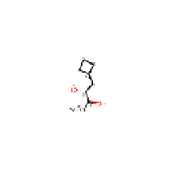 COC(=O)[C@H](O)CC1CCC1